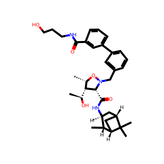 C[C@@H]1[C@@H](NC(=O)[C@@H]2[C@H]([C@H](C)O)[C@H](C)ON2Cc2cccc(-c3cccc(C(=O)NCCCO)c3)c2)C[C@H]2C[C@@H]1C2(C)C